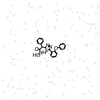 O=C(NO)C(c1ccccc1)c1nnc(-c2ccccc2Oc2ccccc2)s1